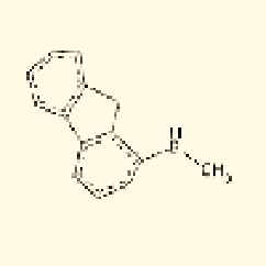 CBc1cccc2c1Cc1ccccc1-2